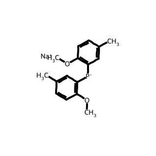 COc1ccc(C)cc1[P-]c1cc(C)ccc1OC.[Na+]